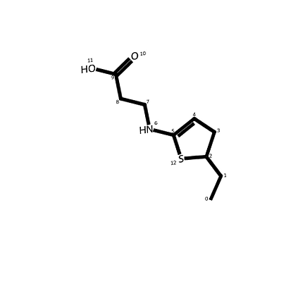 CCC1CC=C(NCCC(=O)O)S1